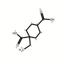 CCC1(C(=O)O)CCC(C(=O)O)CC1